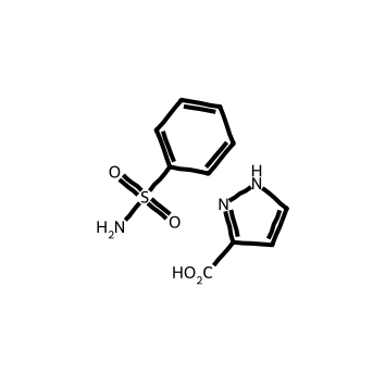 NS(=O)(=O)c1ccccc1.O=C(O)c1cc[nH]n1